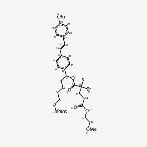 CCCCCOCCCCC(OC(=O)C(C)(Br)CCC(=O)OCCOC)c1ccc(/C=C/c2ccc(CCCC)cc2)cc1